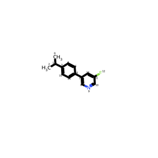 CC(C)c1ccc(-c2cncc(F)c2)cc1